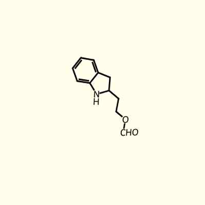 O=COCCC1Cc2ccccc2N1